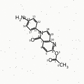 CC(=O)Oc1ccc2c(=O)n(-c3ccc(N)cc3)ccc2n1